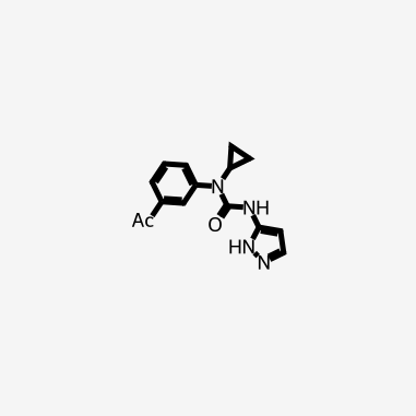 CC(=O)c1cccc(N(C(=O)Nc2ccn[nH]2)C2CC2)c1